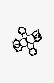 c1cncc(N2C(=C3N(c4cccnc4)c4ccccc4N3c3cccnc3)N(c3cccnc3)c3ccccc32)c1